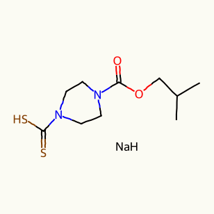 CC(C)COC(=O)N1CCN(C(=S)S)CC1.[NaH]